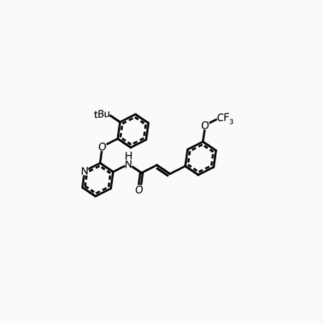 CC(C)(C)c1ccccc1Oc1ncccc1NC(=O)C=Cc1cccc(OC(F)(F)F)c1